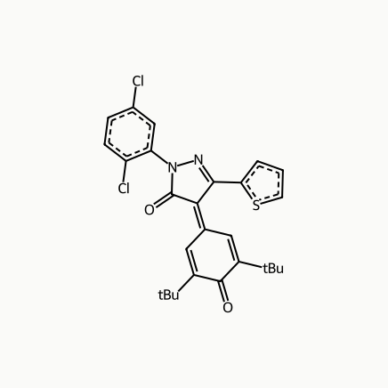 CC(C)(C)C1=CC(=C2C(=O)N(c3cc(Cl)ccc3Cl)N=C2c2cccs2)C=C(C(C)(C)C)C1=O